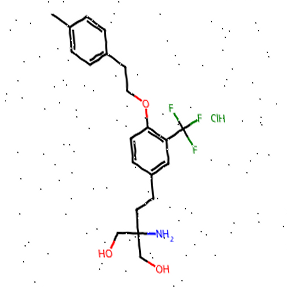 Cc1ccc(CCOc2ccc(CCC(N)(CO)CO)cc2C(F)(F)F)cc1.Cl